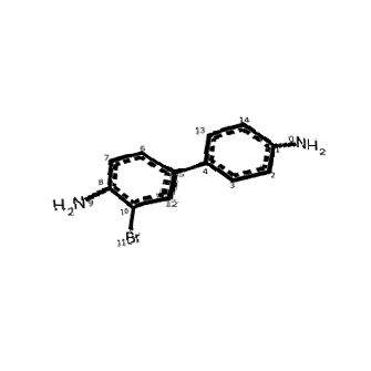 Nc1ccc(-c2ccc(N)c(Br)c2)cc1